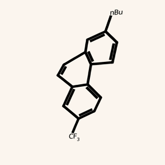 CCCCc1ccc2c(ccc3cc(C(F)(F)F)ccc32)c1